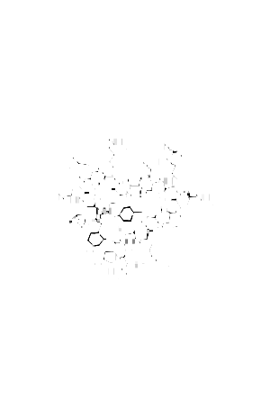 CC[C@H](C)[C@H](NC(=O)[C@@H]1C[C@@H](O)CN1C(=O)[C@@H](N)C(C)C)C(=O)N[C@@H](CCN)C(=O)N[C@@H](Cc1ccc(O)cc1)C(=O)N[C@@H](CO)C(=O)N[C@@H](CC(N)=O)C(=O)N[C@@H](CCCNC(=N)N)C(=O)N[C@@H](CCN)C(=O)N[C@H](C(=O)N[C@H](CCN)C(=O)N[C@@H](CCCCN)C(=O)N[C@@H](CCN)C(=O)N[C@@H](CCN)C(=O)N[C@@H](CCC(=O)O)C(=O)N[C@@H](Cc1ccc(O)cc1)C(=O)O)[C@@H](C)O